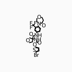 O=C(NC1(C(=O)Nc2ccc(N3CCOCCC3=O)c(C(F)(F)F)c2)CCOC1)Oc1ccc(Br)s1